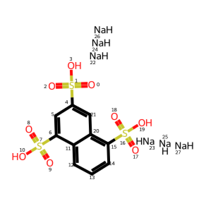 O=S(=O)(O)c1cc(S(=O)(=O)O)c2cccc(S(=O)(=O)O)c2c1.[NaH].[NaH].[NaH].[NaH].[NaH].[NaH]